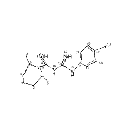 CC1CCCC(C)N1C(=N)NC(=N)Nc1ccc(F)cc1